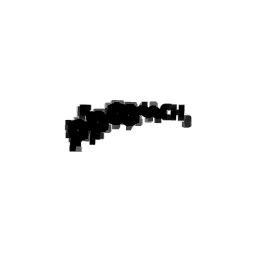 CCCCCc1ccc2cc(-c3cc(F)c(-c4cccc(F)c4)c(F)c3)ccc2c1